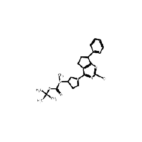 CN(C(=O)OC(C)(C)C)C1CCN(c2nc(Cl)nc3c2CCC3c2ccccc2)C1